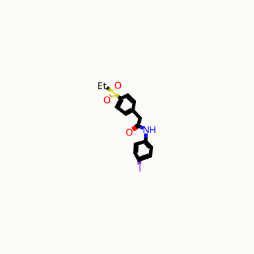 CCS(=O)(=O)c1ccc(CC(=O)Nc2ccc(I)cc2)cc1